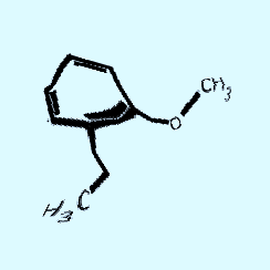 CCc1[c]cccc1OC